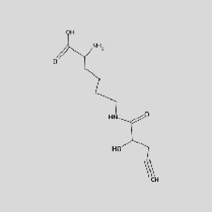 C#CCC(O)C(=O)NCCCCC(N)C(=O)O